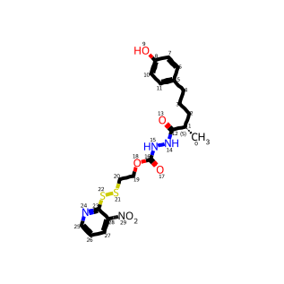 C[C@@H](CCCc1ccc(O)cc1)C(=O)NNC(=O)OCCSSc1ncccc1[N+](=O)[O-]